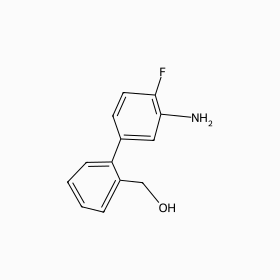 Nc1cc(-c2ccccc2CO)ccc1F